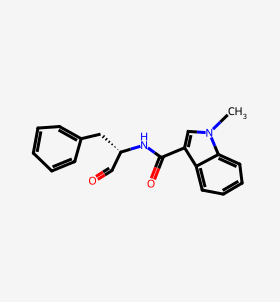 Cn1cc(C(=O)N[C@H](C=O)Cc2ccccc2)c2ccccc21